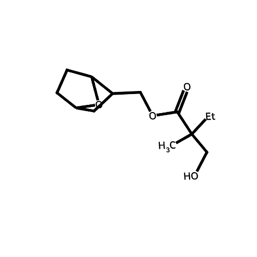 CCC(C)(CO)C(=O)OCC1CC2CCC1O2